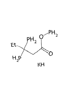 CCC(P)(P)CC(=O)OP.[KH]